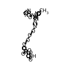 Cc1ccc(-n2nc(N3CCN(CCOCCOCCOCCOc4ccc5c(c4)C(=O)N(C4CCC(=O)NC4=O)C5=O)CC3)cc2NC(=O)C2C=NN3C=CC=NC23)nc1